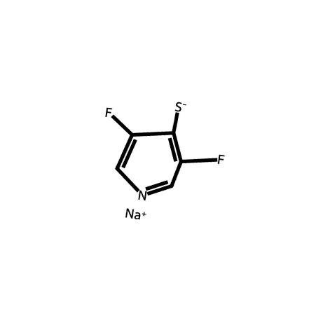 Fc1cncc(F)c1[S-].[Na+]